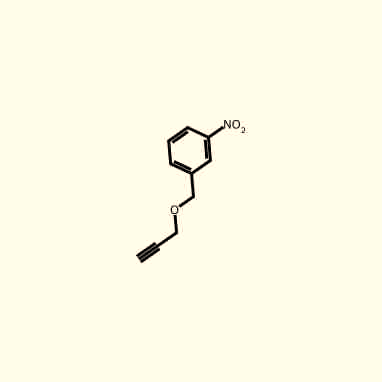 C#CCOCc1cccc([N+](=O)[O-])c1